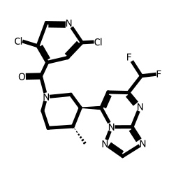 C[C@@H]1CCN(C(=O)c2cc(Cl)ncc2Cl)C[C@H]1c1cc(C(F)F)nc2ncnn12